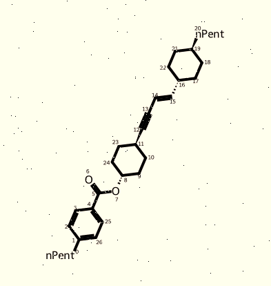 CCCCCc1ccc(C(=O)O[C@H]2CC[C@H](C#CC=C[C@H]3CC[C@H](CCCCC)CC3)CC2)cc1